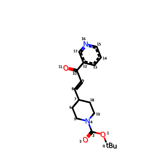 CC(C)(C)OC(=O)N1CCC(C=CC(=O)c2cccnc2)CC1